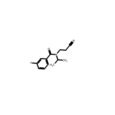 CC(C)N(CCC#N)C(=O)c1cccc(F)c1